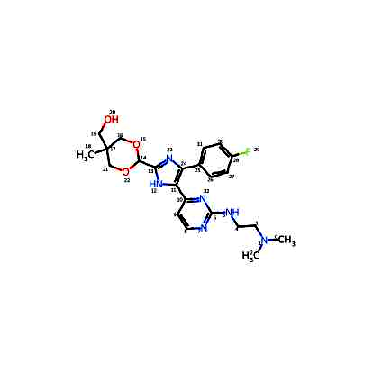 CN(C)CCNc1nccc(-c2[nH]c(C3OCC(C)(CO)CO3)nc2-c2ccc(F)cc2)n1